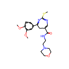 COc1ccc(C2=NC(SC)=NC=C(C(=O)NCCN3CCOCC3)C2)cc1OC